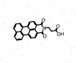 O=C(O)CCN1C(=O)c2ccc3c4cccc5cccc(c6ccc(c2c36)C1=O)c54